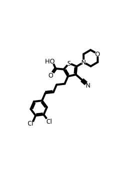 N#Cc1c(N2CCOCC2)sc(C(=O)O)c1CCC=Cc1ccc(Cl)c(Cl)c1